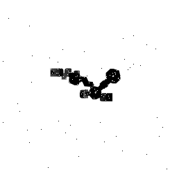 O=C(O)c1ccc(CCC[C@@H]2[C@@H](C#Cc3ccccc3)[C@H](O)C[C@H]2Cl)s1